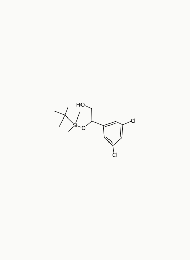 CC(C)(C)[Si](C)(C)OC(CO)c1cc(Cl)cc(Cl)c1